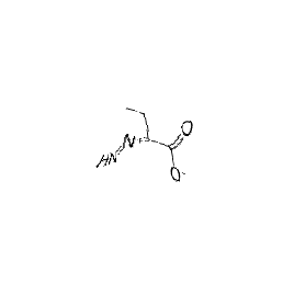 CCC(=[N+]=N)C(=O)[O-]